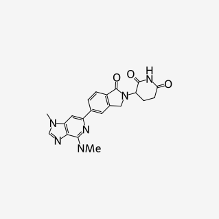 CNc1nc(-c2ccc3c(c2)CN(C2CCC(=O)NC2=O)C3=O)cc2c1ncn2C